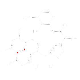 Cc1cccc(NC(=O)C(C)n2cc[n+](CC(OCc3ccc(Cl)cc3Cl)c3ccc(Cl)cc3Cl)c2)c1C.[Br-]